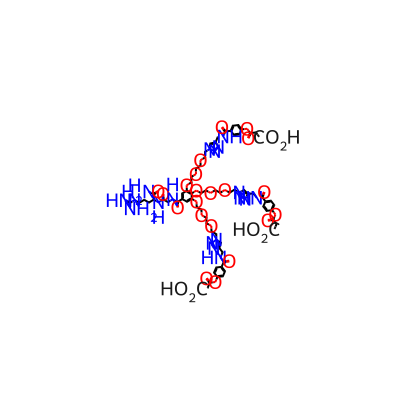 N=C(N)NCCCC(NC(=O)CNC(=O)c1cc(OCCOCCOCCn2cc(CNC(=O)c3ccc(OC(=O)CC(=O)O)cc3)nn2)c(OCCOCCOCCn2cc(CNC(=O)c3ccc(OC(=O)CC(=O)O)cc3)nn2)c(OCCOCCOCCn2cc(CNC(=O)c3ccc(OC(=O)CC(=O)O)cc3)nn2)c1)C(N)=O